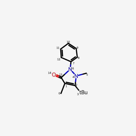 Cc1c(C(C)(C)C)n(C)n(-c2ccccc2)c1=O